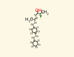 C=C(F)/C(O)=C\C=C(/C)CCc1ccc(CCc2ccccc2)cc1